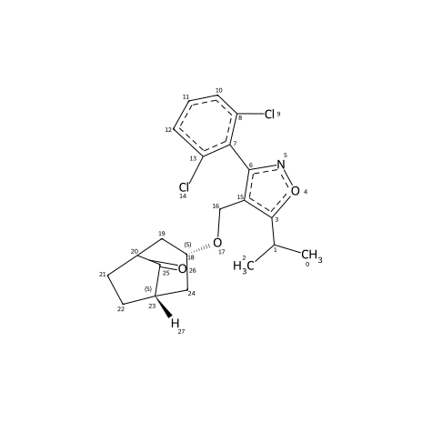 CC(C)c1onc(-c2c(Cl)cccc2Cl)c1CO[C@H]1CC2CC[C@@H](C1)C2=O